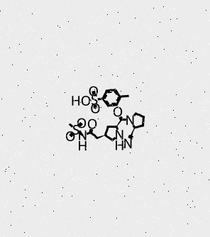 CS(=O)(=O)NC(=O)C[C@@H]1CN[C@H](C(=O)N2CCC[C@H]2C#N)C1.Cc1ccc(S(=O)(=O)O)cc1